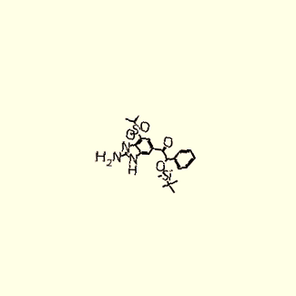 CC(C)S(=O)(=O)c1cc(C(=O)C(O[Si](C)(C)C(C)(C)C)c2ccccc2)cc2[nH]c(N)nc12